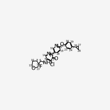 O=c1c(Cl)c(NC[C@@]2(F)CCCOC2)cnn1-c1ccc(Oc2ccc(C3CC3)cc2)nc1